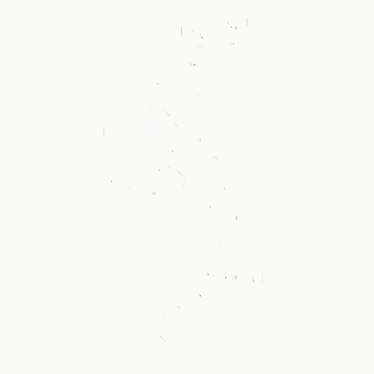 CC/C(=C(/c1ccc(OCC(=O)c2ccc(OCc3ccccc3)c(OC)c2)cc1)c1ccc(OCC(O)CO)cc1)c1ccccc1